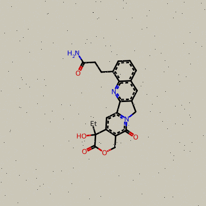 CCC1(O)C(=O)OCc2c1cc1n(c2=O)Cc2cc3cccc(CCC(N)=O)c3nc2-1